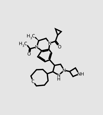 CC(=O)N1c2ccc(C3CN(C4CNC4)NC3C3CCCCCCC3)cc2N(C(=O)C2CC2)C[C@@H]1C